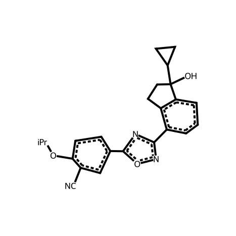 CC(C)Oc1ccc(-c2nc(-c3cccc4c3CCC4(O)C3CC3)no2)cc1C#N